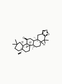 C=C[C@]12CCC(C)(C)C[C@H]1[C@H]1C(=O)CC3[C@@]4(C)Cc5cnoc5C(C)(C)[C@@H]4CC[C@@]3(C)[C@]1(C)CC2